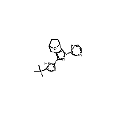 CC(C)(C)c1cnc(-c2nn(-c3cnccn3)c3c2CC2CCC3O2)[nH]1